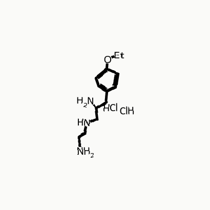 CCOc1ccc(C[C@H](N)CNCCN)cc1.Cl.Cl